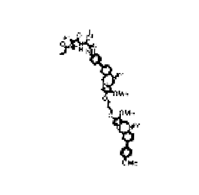 COc1ccc(C2=CC=C3C(C2)Cn2cc(OCCCOc4cn5c(c4OC)C=[N+]([O-])C4=CC=C(c6ccc(NC(=O)C(C)NC(=O)C(NC(=O)CI)C(C)C)cc6)CC4C5)c(OC)c2C=[N+]3[O-])cc1